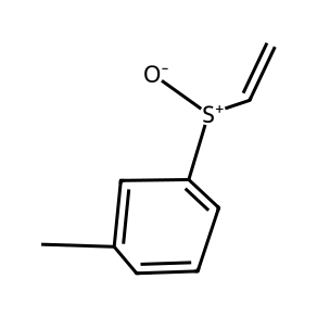 C=C[S+]([O-])c1cccc(C)c1